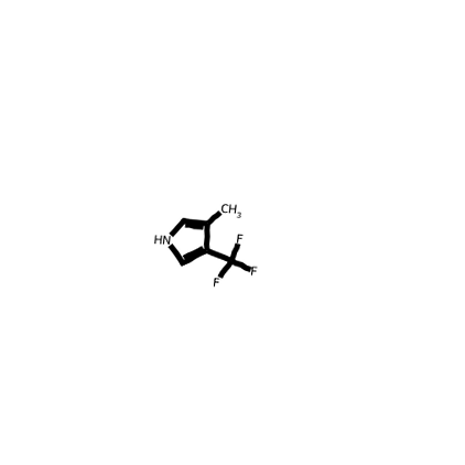 Cc1c[nH]cc1C(F)(F)F